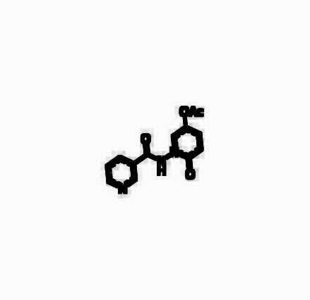 CC(=O)Oc1ccc(=O)n(NC(=O)c2cccnc2)c1